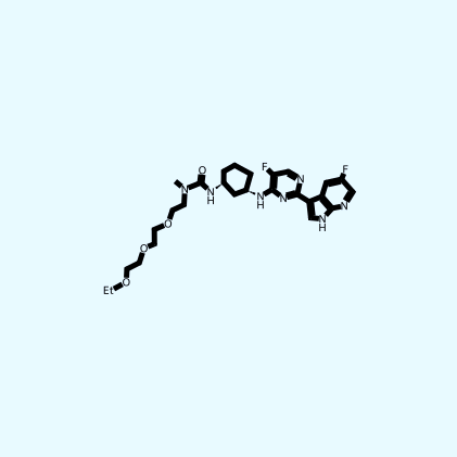 CCOCCOCCOCCN(C)C(=O)N[C@@H]1CCC[C@H](Nc2nc(-c3c[nH]c4ncc(F)cc34)ncc2F)C1